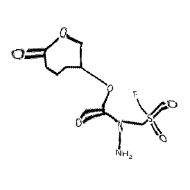 NN(C(=O)OC1COC(=O)C1)S(=O)(=O)F